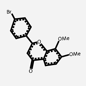 COc1ccc2c(=O)cc(-c3ccc(Br)cc3)oc2c1OC